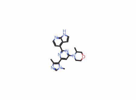 Cc1ncn(C)c1-c1cc(N2CCOCC2C)nc(-c2ccnc3[nH]ccc23)n1